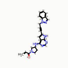 C=CC(=O)N1CCC(Nc2ncnc3[nH]c(C#CCn4ncc5ccccc54)cc23)C1